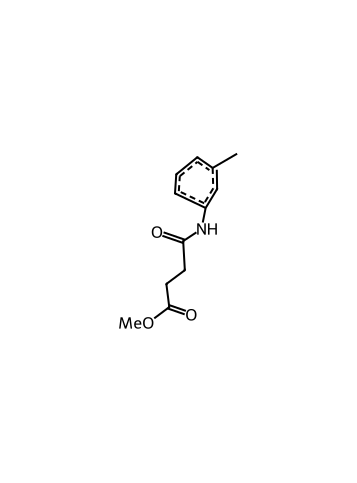 COC(=O)CCC(=O)Nc1cccc(C)c1